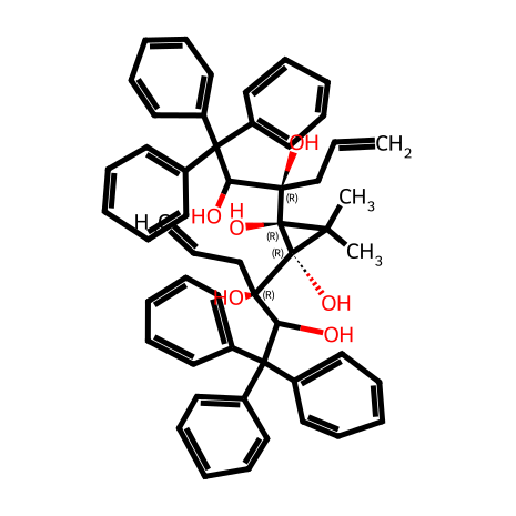 C=CC[C@@](O)(C(O)C(c1ccccc1)(c1ccccc1)c1ccccc1)[C@]1(O)C(C)(C)[C@@]1(O)[C@@](O)(CC=C)C(O)C(c1ccccc1)(c1ccccc1)c1ccccc1